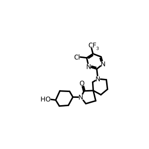 O=C1N(C2CCC(O)CC2)CCC12CCCN(c1ncc(C(F)(F)F)c(Cl)n1)C2